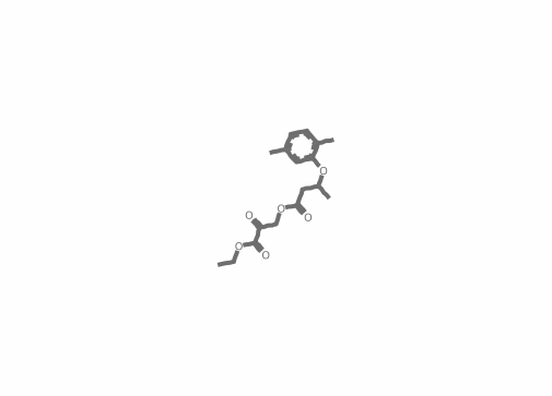 CCOC(=O)C(=O)COC(=O)CC(C)Oc1cc(C)ccc1C